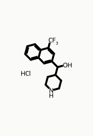 Cl.OC(c1cc(C(F)(F)F)c2ccccc2c1)C1CCNCC1